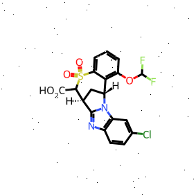 O=C(O)C1[C@H]2C[C@H](c3c(OC(F)F)cccc3S1(=O)=O)n1c2nc2ccc(Cl)cc21